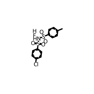 Cc1ccc(S(=O)(=O)NS(=O)(=O)c2ccc(Cl)cc2)cc1.F